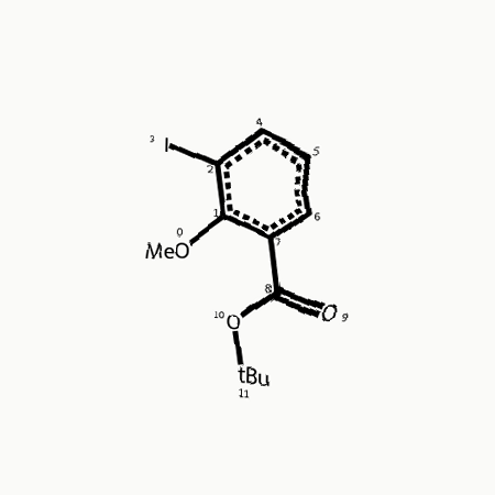 COc1c(I)cccc1C(=O)OC(C)(C)C